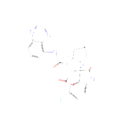 O=C(Nc1cccc2nccnc12)[C@H]1[C@H]2CC(F)(F)CN2[C@]2(C(=O)Nc3c(Cl)cc(Cl)cc32)[C@H]1C(=O)O